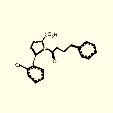 O=C(O)[C@@H]1CC[C@H](c2ccccc2Cl)N1C(=O)CCCc1ccccc1